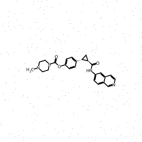 CN1CCN(C(=O)Oc2ccc([C@@H]3C[C@H]3C(=O)Nc3ccc4cnccc4c3)cc2)CC1